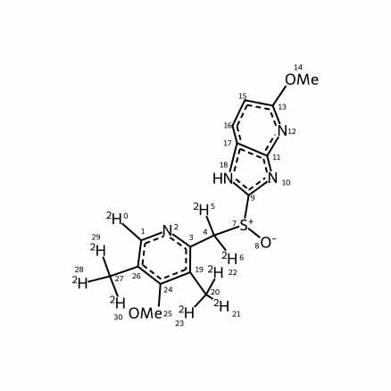 [2H]c1nc(C([2H])([2H])[S+]([O-])c2nc3nc(OC)ccc3[nH]2)c(C([2H])([2H])[2H])c(OC)c1C([2H])([2H])[2H]